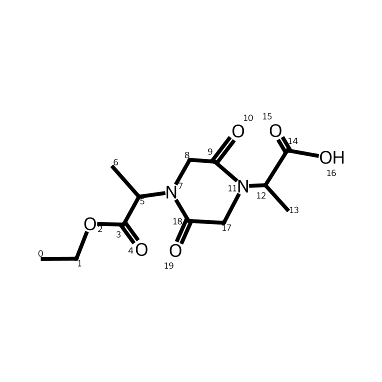 CCOC(=O)C(C)N1CC(=O)N(C(C)C(=O)O)CC1=O